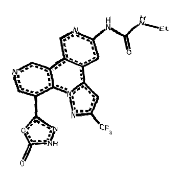 CCNC(=O)Nc1cc2c(cn1)c1cncc(-c3n[nH]c(=O)o3)c1n1nc(C(F)(F)F)cc21